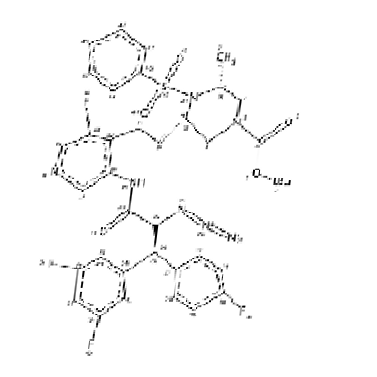 C[C@@H]1CN(C(=O)OC(C)(C)C)C[C@H](CCc2c(F)cncc2NC(=O)C(N=[N+]=[N-])[C@@H](c2ccc(F)cc2)c2cc(F)cc(F)c2)N1S(=O)(=O)c1ccccc1